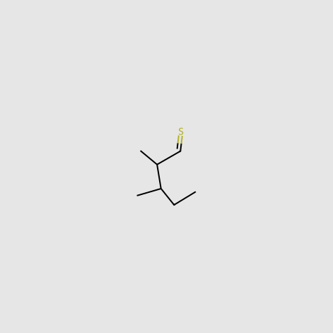 CCC(C)C(C)C=S